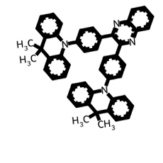 CC1(C)c2ccccc2N(c2ccc(-c3nc4ccccc4nc3-c3ccc(N4c5ccccc5C(C)(C)c5ccccc54)cc3)cc2)c2ccccc21